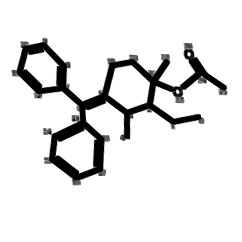 CCC1C(C)C(=C(c2ccccc2)c2ccccc2)CCC1(C)OC(C)=O